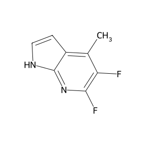 Cc1c(F)c(F)nc2[nH]ccc12